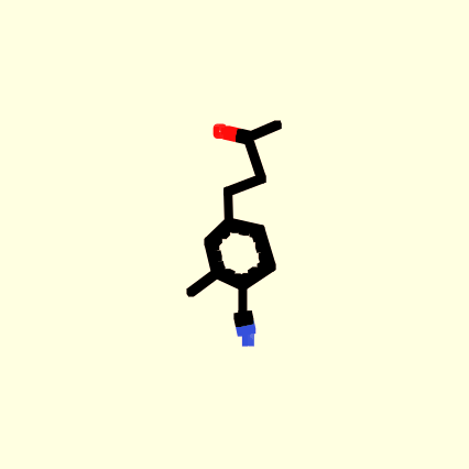 CC(=O)CCc1ccc(C#N)c(C)c1